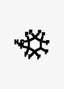 CC1(F)C(F)(F)C(F)(F)C(F)C(F)(F)C1(F)F